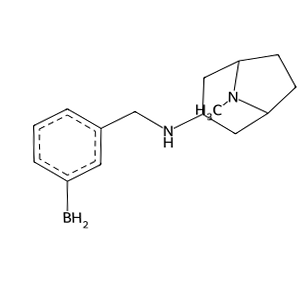 Bc1cccc(CNC2CC3CCC(C2)N3C)c1